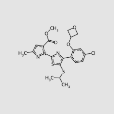 COC(=O)c1cc(C)nn1-c1nc(-c2ccc(Cl)cc2OC2COC2)c(SC(C)C)s1